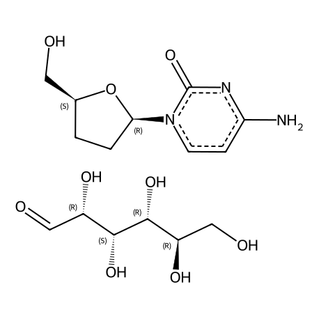 Nc1ccn([C@H]2CC[C@@H](CO)O2)c(=O)n1.O=C[C@H](O)[C@@H](O)[C@H](O)[C@H](O)CO